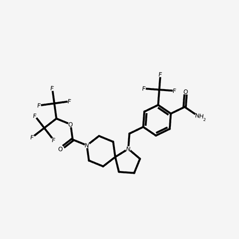 NC(=O)c1ccc(CN2CCCC23CCN(C(=O)OC(C(F)(F)F)C(F)(F)F)CC3)cc1C(F)(F)F